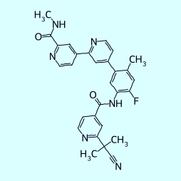 CNC(=O)c1cc(-c2cc(-c3cc(NC(=O)c4ccnc(C(C)(C)C#N)c4)c(F)cc3C)ccn2)ccn1